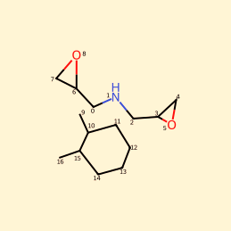 C(NCC1CO1)C1CO1.CC1CCCCC1C